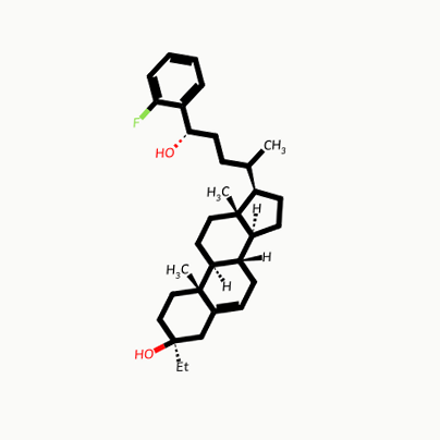 CC[C@]1(O)CC[C@@]2(C)C(=CC[C@H]3[C@@H]4CC[C@H](C(C)CC[C@H](O)c5ccccc5F)[C@@]4(C)CC[C@@H]32)C1